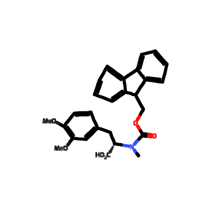 COc1ccc(C[C@@H](C(=O)O)N(C)C(=O)OCC2c3ccccc3-c3ccccc32)cc1OC